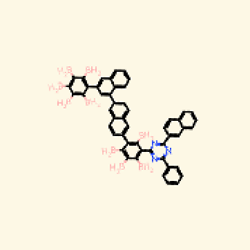 Bc1c(B)c(B)c(-c2cc(-c3ccc4cc(-c5c(B)c(B)c(B)c(-c6nc(-c7ccccc7)nc(-c7ccc8ccccc8c7)n6)c5B)ccc4c3)c3ccccc3c2)c(B)c1B